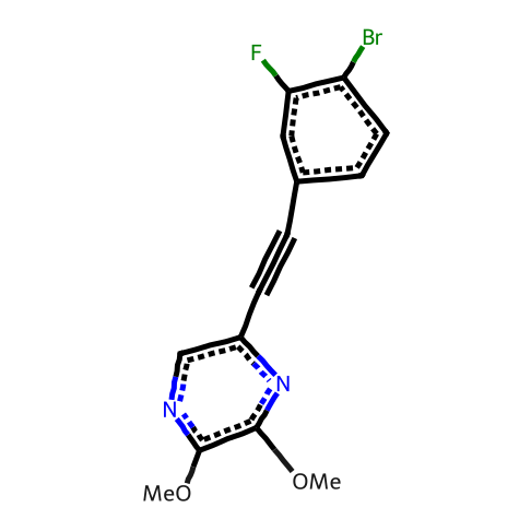 COc1ncc(C#Cc2ccc(Br)c(F)c2)nc1OC